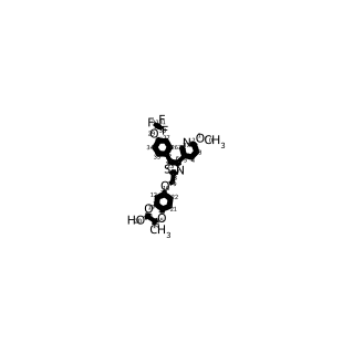 COc1ccc(-c2nc(COc3ccc(OC(C)C(=O)O)cc3)sc2-c2ccc(OC(F)(F)F)cc2)cn1